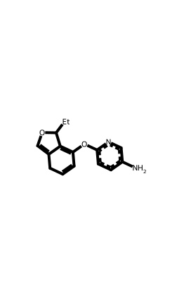 CCC1OC=C2CC=CC(Oc3ccc(N)cn3)=C21